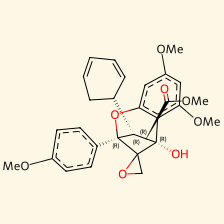 COC(=O)[C@@H]1[C@@H](C2C=CC=CC2)[C@]2(c3ccc(OC)cc3)Oc3cc(OC)cc(OC)c3[C@@]1(O)C21CO1